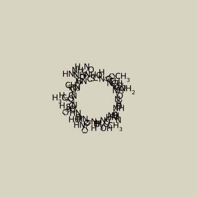 CCCC[C@H]1C(=O)N(C)[C@@H](CCCC)C(=O)N[C@@H](CCCNC(=N)N)C(=O)N[C@H](C(=O)NCC(N)=O)CSCC(=O)N[C@@H](Cc2ccc(C)cc2)C(=O)N(C)[C@@H](C)C(=O)N[C@@H](CC(N)=O)C(=O)N2CCC[C@H]2C(=O)N[C@@H](Cc2cnc[nH]2)C(=O)N[C@@H](CC(C)C)C(=O)N2C[C@H](O)C[C@H]2C(=O)N[C@@H](Cc2c[nH]c3ccccc23)C(=O)N[C@@H](CO)C(=O)N[C@@H](Cc2csc3ccccc23)C(=O)N1C